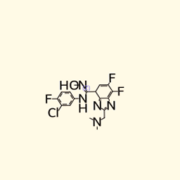 CN(C)CC1=NC2=C(F)C(F)=CC(/C(=N/O)Nc3ccc(F)c(Cl)c3)C2=N1